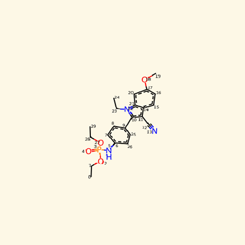 CCOP(=O)(Nc1ccc(-c2c(C#N)c3ccc(OC)cc3n2CC)cc1)OCC